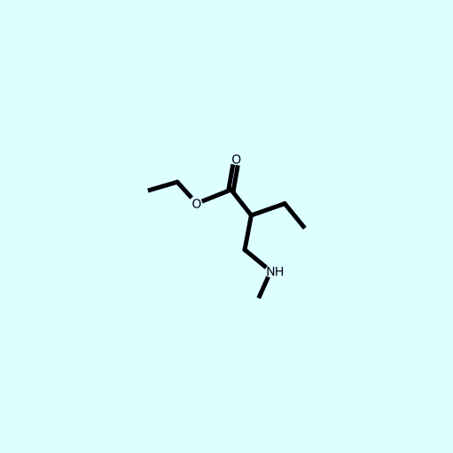 CCOC(=O)C(CC)CNC